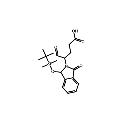 CC(C)(C)[Si](C)(C)OC1c2ccccc2C(=O)N1C(C=O)CCC(=O)O